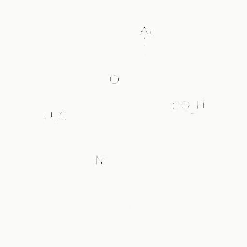 CC(=O)COc1c(C)nc2ccccc2c1C(=O)O